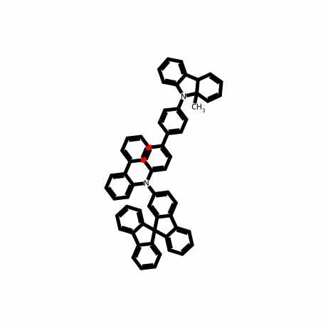 CC12C=CC=CC1c1ccccc1N2c1ccc(-c2ccc(N(c3ccc4c(c3)C3(c5ccccc5-c5ccccc53)c3ccccc3-4)c3ccccc3-c3ccccc3)cc2)cc1